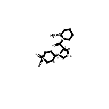 C[C@H]1CCCCN1C(=O)C1=CSCN1C1CCS(=O)(=O)CC1